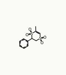 CC1=CS(=O)(=O)CC(c2ccccc2)S1(=O)=O